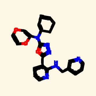 C1=CCCC(N(C2=COC=CO2)c2nnc(-c3cccnc3NCc3cccnc3)o2)=C1